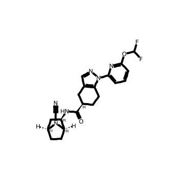 N#CN1[C@H]2CC[C@@H]1[C@H](NC(=O)[C@@H]1CCc3c(cnn3-c3cccc(OC(F)F)n3)C1)C2